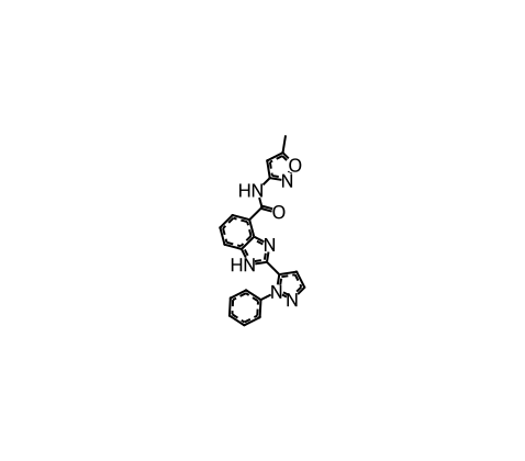 Cc1cc(NC(=O)c2cccc3[nH]c(-c4ccnn4-c4ccccc4)nc23)no1